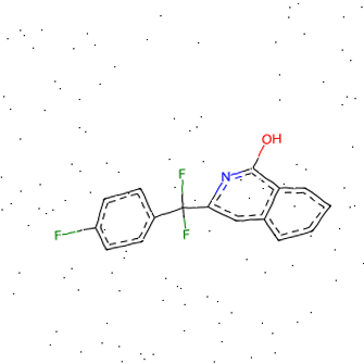 Oc1nc(C(F)(F)c2ccc(F)cc2)cc2ccccc12